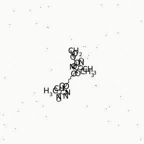 C=CC(=O)OCCOC(=O)C1=C(N2CCCCC2)CC(C)(C)C/C1=C(/C#N)C(=O)OCCCCCCOC(=O)/C(C#N)=C1\CC(C)(C)CC(N2CCCCC2)=C1C#N